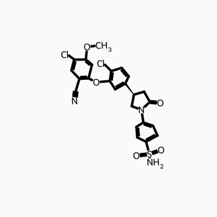 COc1cc(Oc2cc([C@H]3CC(=O)N(c4ccc(S(N)(=O)=O)cc4)C3)ccc2Cl)c(C#N)cc1Cl